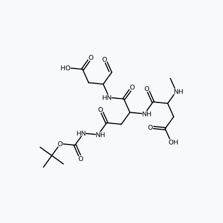 CNC(CC(=O)O)C(=O)NC(CC(=O)NNC(=O)OC(C)(C)C)C(=O)NC(C=O)CC(=O)O